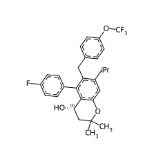 CC(C)c1cc2c(c(-c3ccc(F)cc3)c1Cc1ccc(OC(F)(F)F)cc1)[C@@H](O)CC(C)(C)O2